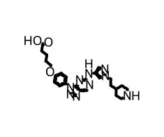 O=C(O)CCCCOc1ccc(-n2nnc3cnc(Nc4cnn(CCC5CCNCC5)c4)nc32)cc1